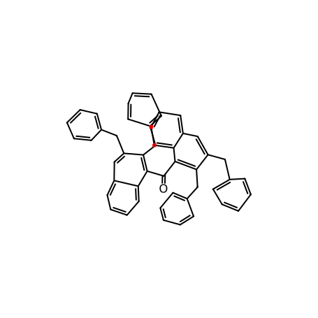 O=C(c1c(Cc2ccccc2)c(Cc2ccccc2)cc2ccccc12)c1c(Cc2ccccc2)c(Cc2ccccc2)cc2ccccc12